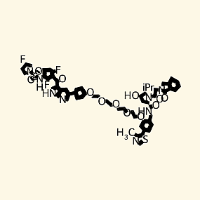 Cc1ncsc1-c1ccc(CNC(=O)[C@@H]2C[C@@H](O)CN2C(=O)[C@H](C(C)C)N2Cc3ccccc3C2=O)c(OCCOCCOCCOCCOc2ccc(-c3cnc4[nH]cc(C(=O)c5c(F)ccc(NS(=O)(=O)N6CC[C@@H](F)C6)c5F)c4c3)cc2)c1